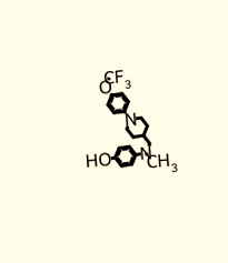 CN(CC1CCN(c2ccc(OC(F)(F)F)cc2)CC1)c1ccc(O)cc1